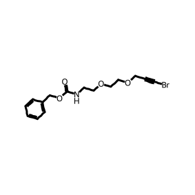 O=C(NCCOCCOCC#CBr)OCc1ccccc1